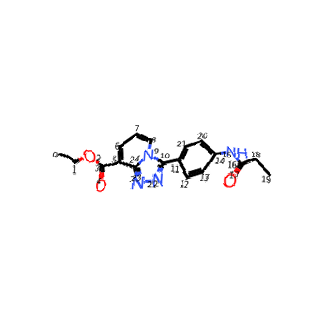 CCOC(=O)c1cccn2c(-c3ccc(NC(=O)CC)cc3)nnc12